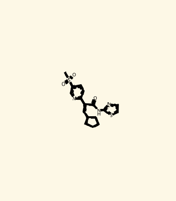 CS(=O)(=O)c1ccc(C(=CC2CCCC2)C(=O)Nc2nccs2)nc1